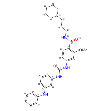 COc1cc(NC(=O)Nc2cccc(Nc3ccccc3)c2)ccc1C(=O)NCCCN1CCCCC1